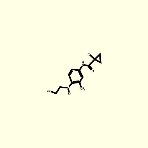 CCC1(C(=O)Nc2ccc([S+]([O-])CCC(C)C)c(C(F)(F)F)c2)CC1